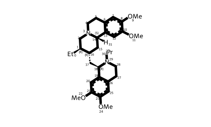 CC[C@H]1CN2CCc3cc(OC)c(OC)cc3[C@@H]2C[C@@H]1C[C@@H]1c2cc(OC)c(OC)cc2CCN1C(C)C